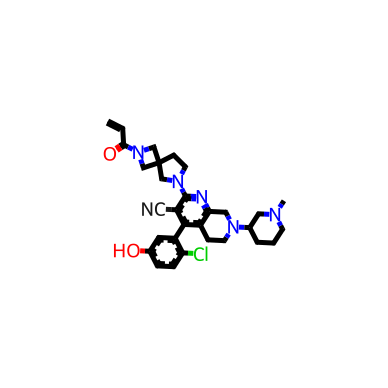 C=CC(=O)N1CC2(CCN(c3nc4c(c(-c5cc(O)ccc5Cl)c3C#N)CCN(C3CCCN(C)C3)C4)C2)C1